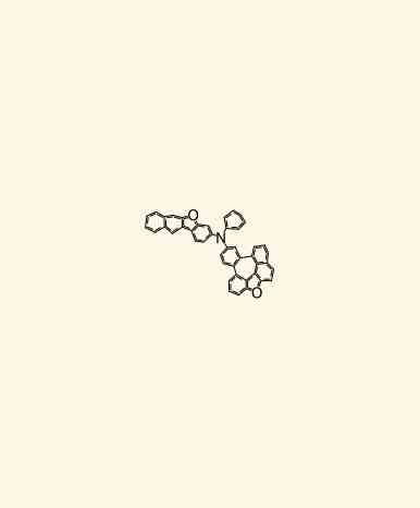 c1ccc(N(c2ccc3c(c2)-c2cccc4ccc5oc6cccc-3c6c5c24)c2ccc3c(c2)oc2cc4ccccc4cc23)cc1